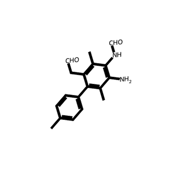 Cc1ccc(-c2c(C)c(N)c(NC=O)c(C)c2CC=O)cc1